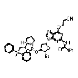 CC[C@H]1O[C@@H](n2cnc3c(OCCC#N)nc(NC(=O)C(C)C)nc32)CC1O[P@]1O[C@@H](C[Si](C)(c2ccccc2)c2ccccc2)[C@H]2CCCN21